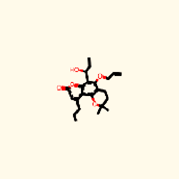 C=CCOc1c2c(c3c(CCC)cc(=O)oc3c1C(O)CC)OC(C)(C)CC2